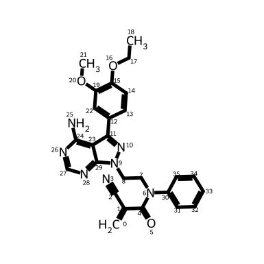 C=C(C#N)C(=O)N(CCn1nc(-c2ccc(OCC)c(OC)c2)c2c(N)ncnc21)c1ccccc1